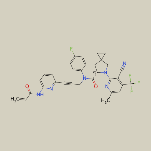 C=CC(=O)Nc1cccc(C#CCN(C(=O)[C@@H]2CC3(CC3)CN2c2nc(C)cc(C(F)(F)F)c2C#N)c2ccc(F)cc2)n1